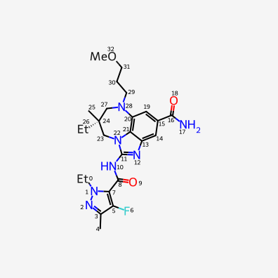 CCn1nc(C)c(F)c1C(=O)Nc1nc2cc(C(N)=O)cc3c2n1C[C@](C)(CC)CN3CCCOC